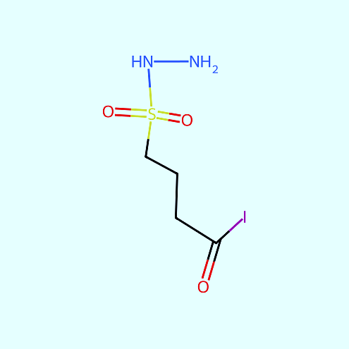 NNS(=O)(=O)CCCC(=O)I